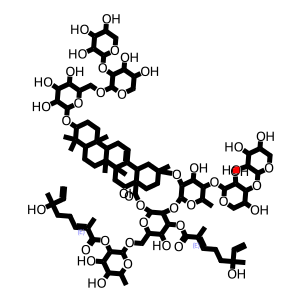 C=CC(C)(O)CC/C=C(\C)C(=O)OC1C(OCC2OC3OC(=O)C45CCC(C)(CC4C4=CCC6C7(C)CCC(OC8OC(COC9OCC(O)C(O)C9OC9OCC(O)C(O)C9O)C(O)C(O)C8O)C(C)(C)C7CCC6(C)C4(C)CC5O)OC4C(OC(C)C(OC5OCC(O)C(OC6OCC(O)C(O)C6O)C5O)C4O)OC3C(OC(=O)/C(C)=C/CCC(C)(O)C=C)C2O)OC(C)C(O)C1O